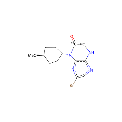 CO[C@H]1CC[C@H](N2c3nc(Br)cnc3N[13CH2][13C]2=O)CC1